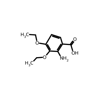 CCOc1ccc(C(=O)O)c(N)c1OCC